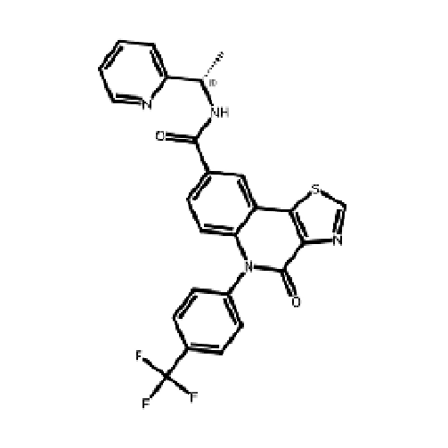 C[C@H](NC(=O)c1ccc2c(c1)c1scnc1c(=O)n2-c1ccc(C(F)(F)F)cc1)c1ccccn1